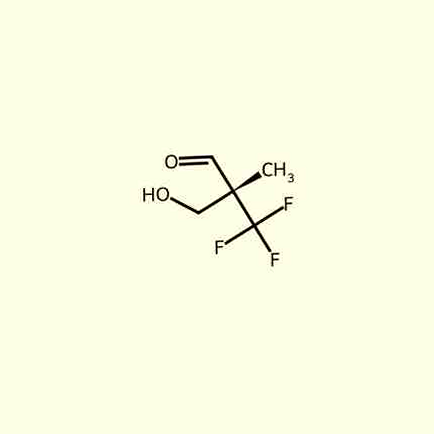 C[C@](C=O)(CO)C(F)(F)F